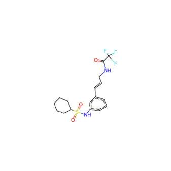 O=C(NCC=Cc1cccc(NS(=O)(=O)C2CCCCC2)c1)C(F)(F)F